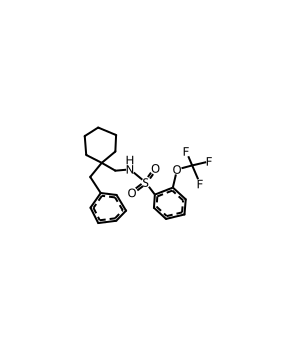 O=S(=O)(NCC1(Cc2ccccc2)CCCCC1)c1ccccc1OC(F)(F)F